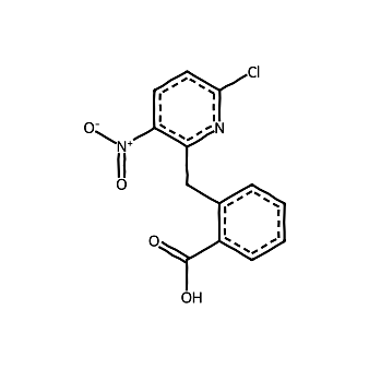 O=C(O)c1ccccc1Cc1nc(Cl)ccc1[N+](=O)[O-]